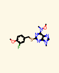 COc1ccc(CSc2nc(N(C)OC)c3ncn(C)c3n2)cc1F